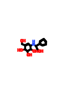 OCC1=CC(NC(CO)c2ccccc2)C(O)C(O)C1O